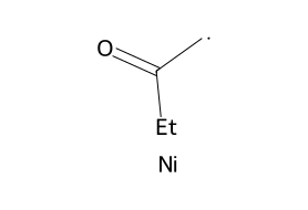 [CH2]C(=O)CC.[Ni]